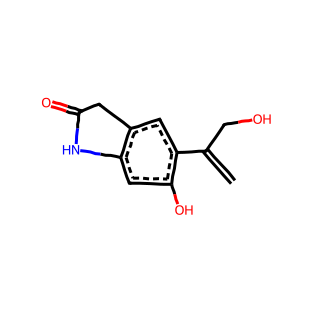 C=C(CO)c1cc2c(cc1O)NC(=O)C2